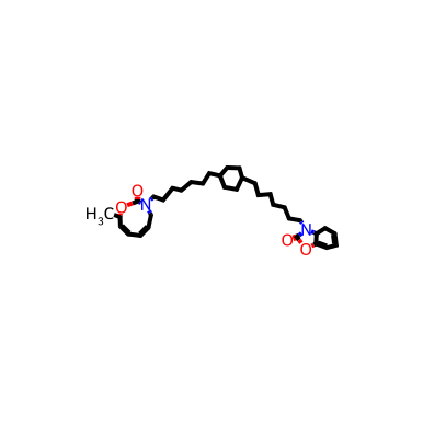 CC1/C=C\C=C/CN(CCCCCCCC2CCC(CCCCCCCN3C(=O)OC4=CC=CCC43)CC2)C(=O)O1